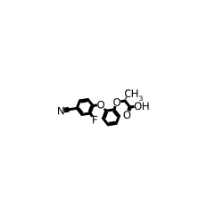 C[C@@H](Oc1ccccc1Oc1ccc(C#N)cc1F)C(=O)O